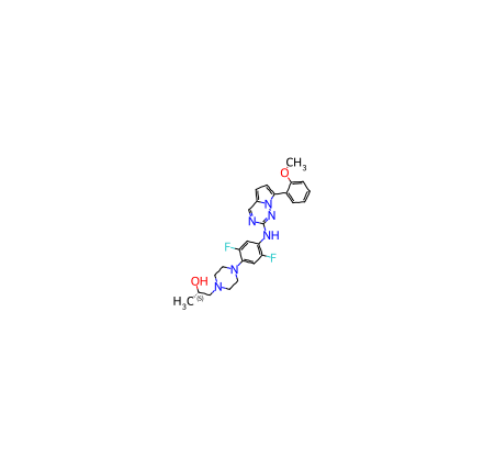 COc1ccccc1-c1ccc2cnc(Nc3cc(F)c(N4CCN(C[C@H](C)O)CC4)cc3F)nn12